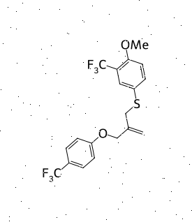 C=C(COc1ccc(C(F)(F)F)cc1)CSc1ccc(OC)c(C(F)(F)F)c1